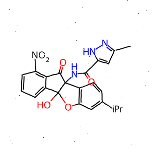 Cc1cc(C(=O)NC23C(=O)c4c([N+](=O)[O-])cccc4C2(O)Oc2cc(C(C)C)ccc23)[nH]n1